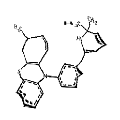 CC1C=CC2=C(C1)Sc1ccccc1N2c1cccc(C2=CC=CC(C)(C)N2)c1